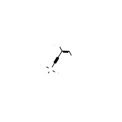 CCCC(C#C[Si](C)(C)C)=CC(=O)OCC